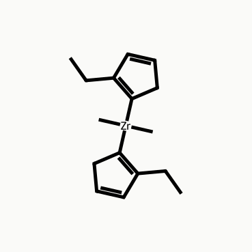 CCC1=[C]([Zr]([CH3])([CH3])[C]2=C(CC)C=CC2)CC=C1